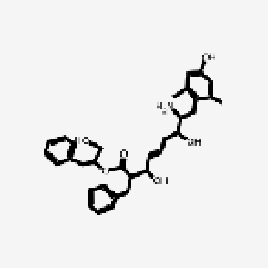 Cc1cc(O)cc(C)c1CC(N)C(O)C/C=C/C(O)C(Cc1ccccc1)C(=O)OC(CO)Cc1ccccc1